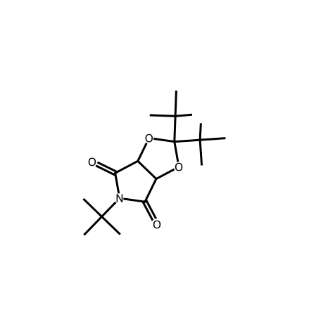 CC(C)(C)N1C(=O)C2OC(C(C)(C)C)(C(C)(C)C)OC2C1=O